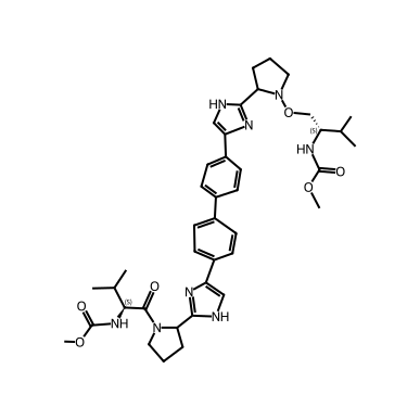 COC(=O)N[C@H](C(=O)N1CCCC1c1nc(-c2ccc(-c3ccc(-c4c[nH]c(C5CCCN5OC[C@@H](NC(=O)OC)C(C)C)n4)cc3)cc2)c[nH]1)C(C)C